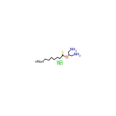 CCCCCCCCCCCCCCCC(=S)OC(CN)CN.Cl.Cl